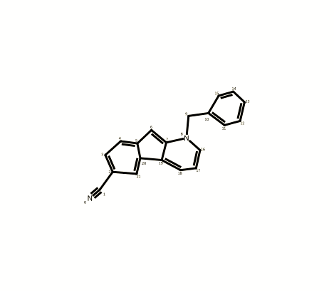 N#Cc1ccc2cc3n(Cc4ccccc4)cccc-3c2c1